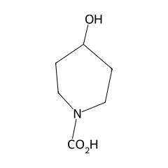 O=C(O)N1CCC(O)CC1